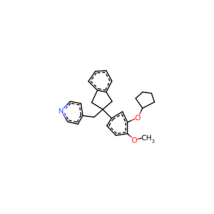 COc1ccc(C2(Cc3ccncc3)Cc3ccccc3C2)cc1OC1CCCC1